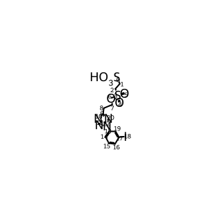 O=S(=O)(O)CCS(=O)(=O)OCCc1nnn(-c2cccc(I)c2)n1